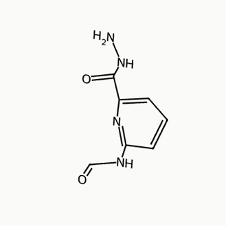 NNC(=O)c1cccc(NC=O)n1